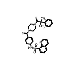 CC(C)(C(=O)N1CCN(C(=O)C2=CCC(NS(=O)(=O)c3cccc4cccnc34)C=C2)CC1)c1ccccc1